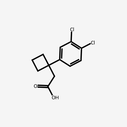 O=C(O)CC1(c2ccc(Cl)c(Cl)c2)CCC1